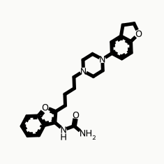 NC(=O)Nc1c(CCCCN2CCN(c3ccc4c(c3)CCO4)CC2)oc2ccccc12